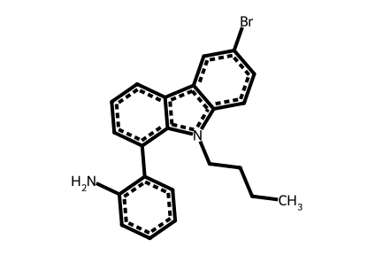 CCCCn1c2ccc(Br)cc2c2cccc(-c3ccccc3N)c21